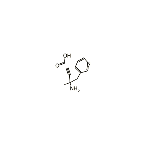 C#CC(C)(N)Cc1cccnc1.O=CO